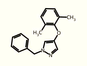 Cc1cccc(C)c1Oc1cnn(Cc2ccccc2)c1